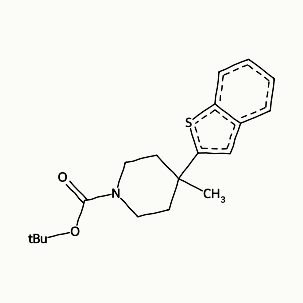 CC(C)(C)OC(=O)N1CCC(C)(c2cc3ccccc3s2)CC1